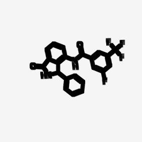 O=C(Nc1cccc2c1C(c1ccccc1)NC2=O)c1cc(F)cc(C(F)(F)F)c1